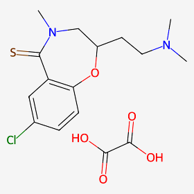 CN(C)CCC1CN(C)C(=S)c2cc(Cl)ccc2O1.O=C(O)C(=O)O